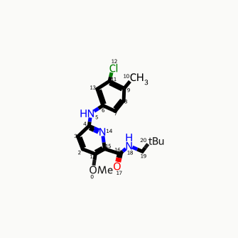 COc1ccc(Nc2ccc(C)c(Cl)c2)nc1C(=O)NCC(C)(C)C